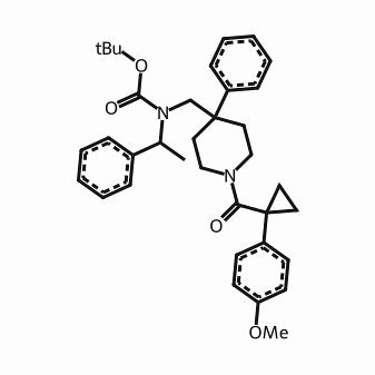 COc1ccc(C2(C(=O)N3CCC(CN(C(=O)OC(C)(C)C)C(C)c4ccccc4)(c4ccccc4)CC3)CC2)cc1